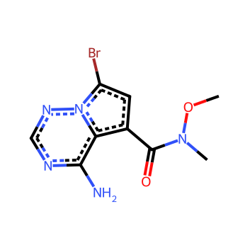 CON(C)C(=O)c1cc(Br)n2ncnc(N)c12